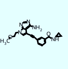 COCCn1cc(C#Cc2cccc(C(=O)NC3CC3)c2)c2c(N)ncnc21